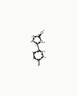 Cc1ccc(-c2nsc(=O)o2)nc1